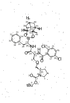 CC(C)(C)OC(=O)N1CCC[C@@H]1COC[C@H](NC(=O)c1cc(Cl)ccc1Cl)C(=O)N[C@@H](Cc1ccccc1)B1O[C@@H]2C[C@H]3C[C@@H](C3(C)C)[C@]2(C)O1